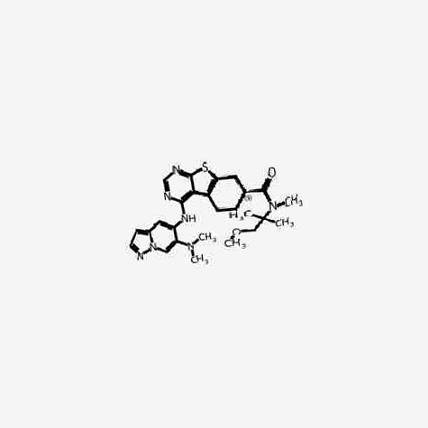 COCC(C)(C)N(C)C(=O)[C@H]1CCc2c(sc3ncnc(Nc4cc5ccnn5cc4N(C)C)c23)C1